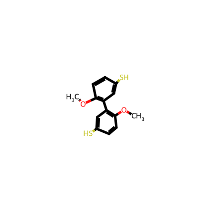 COc1ccc(S)cc1-c1cc(S)ccc1OC